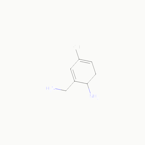 CC1=CCC(N)C(CN)=C1